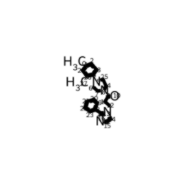 Cc1ccc(N2CCN(C(=O)CCn3ccnc3-c3ccccc3)CC2)c(C)c1